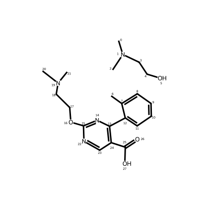 CN(C)CCO.Cc1ccccc1-c1nc(OCCN(C)C)ncc1C(=O)O